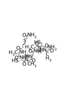 C[C@H](NC(=O)[C@H](CS)NC(=O)[C@H](C)NC(=O)CNC(=O)[C@H](C)NC(=O)[C@H](CS)NC(=O)[C@H](C)NC(=O)CC=CSCC(N)=O)C(N)=O